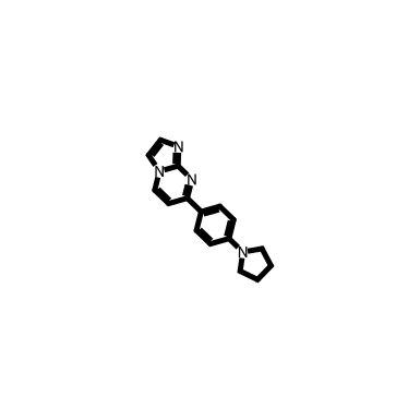 c1cn2ccc(-c3ccc(N4CCCC4)cc3)nc2n1